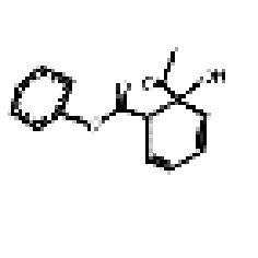 CC(=O)C1(O)C=CC=CC1C(=O)Oc1ccccc1